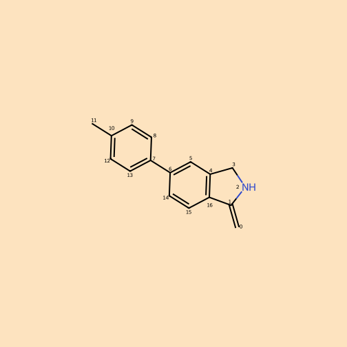 C=C1NCc2cc(-c3ccc(C)cc3)ccc21